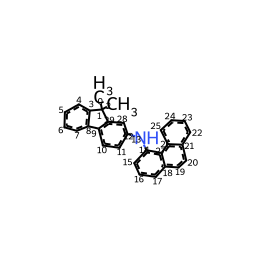 CC1(C)c2ccccc2-c2ccc(Nc3cccc4ccc5ccccc5c34)cc21